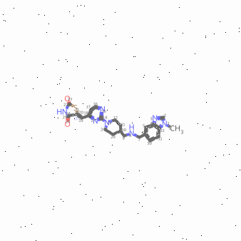 Cn1cnc2cc(CNCC3CCN(c4nccc(/C=C5\SC(=O)NC5=O)n4)CC3)ccc21